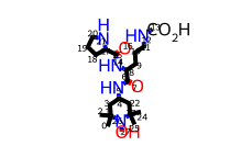 CC1(C)CC(NC(=O)C(CCCNC(=O)O)NC(=O)C2CCCN2)CC(C)(C)N1O